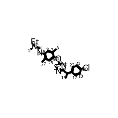 CCN(C)C=Nc1cc(C)c(Oc2nc(C(C)c3ccc(Cl)cc3)ns2)cc1C